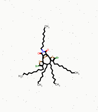 CCCCCCCCCCc1c(Br)sc2c1C(CCCCCCCCC)C(CCCCCCCCC)c1c(sc(Br)c1CCCCCCCCCC)-c1sc-2c2c1C(=O)N(CCCCCCCCCC)C2=O